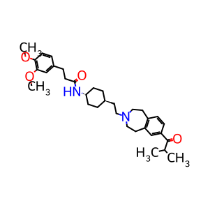 COc1ccc(CCC(=O)N[C@H]2CC[C@H](CCN3CCc4ccc(C(=O)C(C)C)cc4CC3)CC2)cc1OC